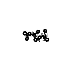 c1ccc(-c2nc(-c3ccc4c5ccccc5n(-c5ccccc5)c4c3)nc(-c3cccc4sc5cc(-c6nc(-c7ccccc7)nc7c6sc6ccccc67)ccc5c34)n2)cc1